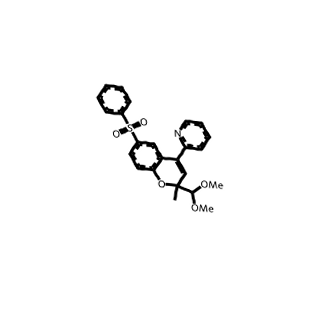 COC(OC)C1(C)C=C(c2ccccn2)c2cc(S(=O)(=O)c3ccccc3)ccc2O1